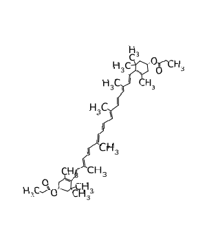 CCC(=O)O[C@@H]1CC(C)=C(/C=C/C(C)=C/C=C/C(C)=C/C=C/C=C(C)/C=C/C=C(C)/C=C/C2=C(C)C[C@@H](OC(=O)CC)CC2(C)C)C(C)(C)C1